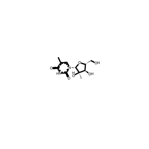 Cc1cn([C@@H]2O[C@H](CO)[C@@H](O)[C@@]2(C)O)c(=O)[nH]c1=O